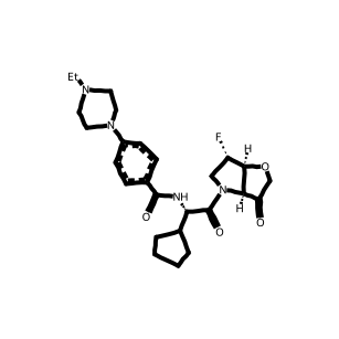 CCN1CCN(c2ccc(C(=O)N[C@H](C(=O)N3C[C@H](F)[C@H]4OCC(=O)[C@H]43)C3CCCC3)cc2)CC1